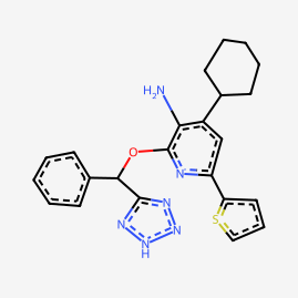 Nc1c(C2CCCCC2)cc(-c2cccs2)nc1OC(c1ccccc1)c1nn[nH]n1